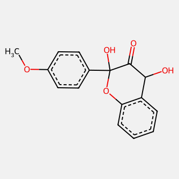 COc1ccc(C2(O)Oc3ccccc3C(O)C2=O)cc1